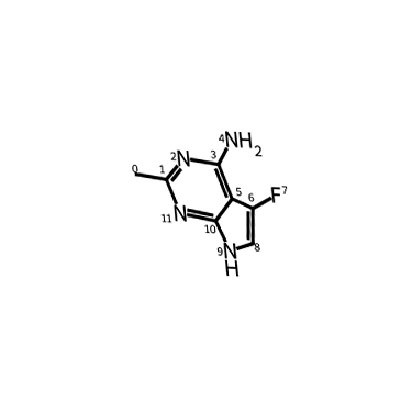 Cc1nc(N)c2c(F)c[nH]c2n1